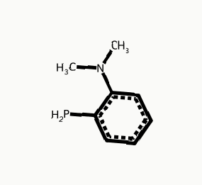 CN(C)c1ccccc1P